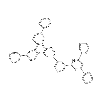 c1ccc(-c2ccc3c(c2)c2ccc(-c4cccc(-c5nc(-c6ccccc6)cc(-c6ccccc6)n5)c4)cc2c2ccc(-c4ccccc4)cc32)cc1